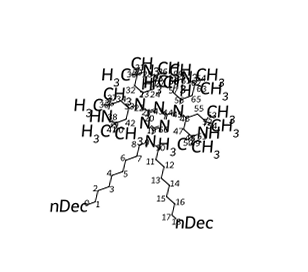 CCCCCCCCCCCCCCCCCCN(CCCCCCCCCCCCCCCCCC)c1nc(N(C2CC(C)(C)NC(C)(C)C2)C2CC(C)(C)NC(C)(C)C2)nc(N(C2CC(C)(C)NC(C)(C)C2)C2CC(C)(C)NC(C)(C)C2)n1